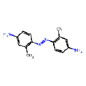 Cc1cc(N)ccc1N=Nc1ccc(N)cc1C#N